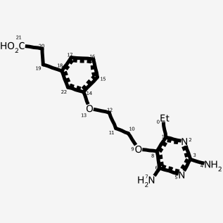 CCc1nc(N)nc(N)c1OCCCOc1cccc(CCC(=O)O)c1